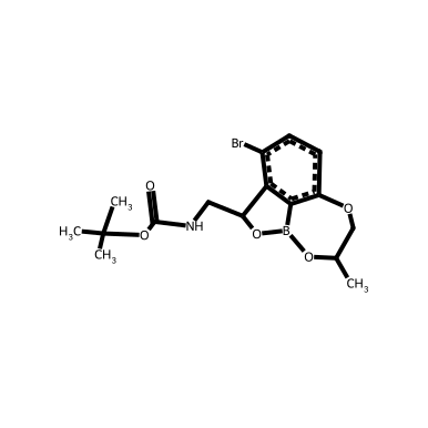 CC1COc2ccc(Br)c3c2B(O1)OC3CNC(=O)OC(C)(C)C